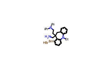 Br.Br.CCN1c2ccccc2CC(CN)(CCN(C(C)C)C(C)C)c2ccccc21